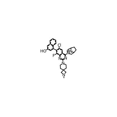 CN1CC2(CCN(c3nc(N4CC5CCC(C4)N5)c4cc(Cl)c(-c5cc(O)cc6ccccc56)c(F)c4n3)CC2)C1